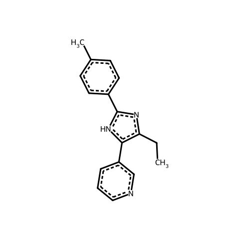 CCc1nc(-c2ccc(C)cc2)[nH]c1-c1cccnc1